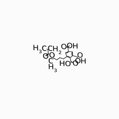 C=C(C)C(=O)OC(C)CCCc1cc(C(=O)O)cc(C(=O)O)c1C(=O)O